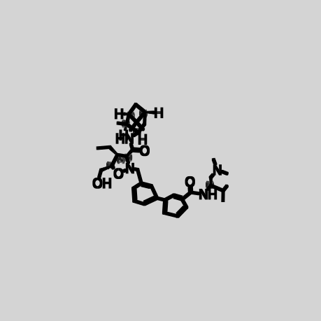 CC[C@@H]1[C@H](CO)ON(Cc2cccc(-c3cccc(C(=O)N[C@@H](CN(C)C)C(C)C)c3)c2)[C@@H]1C(=O)N[C@H]1C[C@H]2C[C@@H]([C@@H]1C)C2(C)C